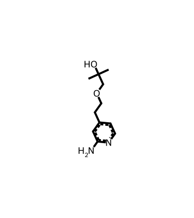 CC(C)(O)COCCc1ccnc(N)c1